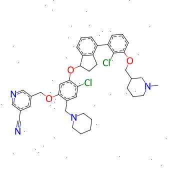 CN1CCCC(COc2cccc(-c3cccc4c3CCC4Oc3cc(OCc4cncc(C#N)c4)c(CN4CCCCC4)cc3Cl)c2Cl)C1